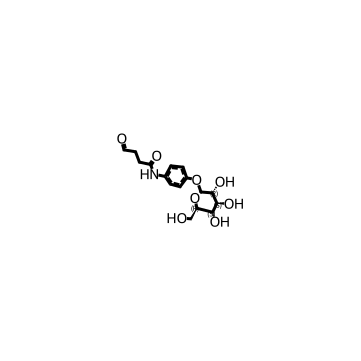 O=CCCC(=O)Nc1ccc(OC2O[C@H](CO)[C@@H](O)[C@H](O)[C@H]2O)cc1